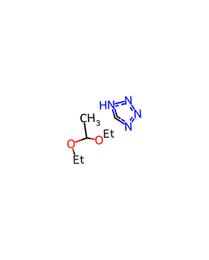 CCOC(C)OCC.c1nnn[nH]1